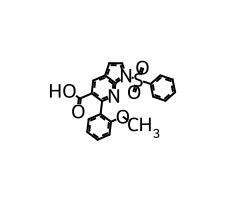 COc1ccccc1-c1nc2c(ccn2S(=O)(=O)c2ccccc2)cc1C(=O)O